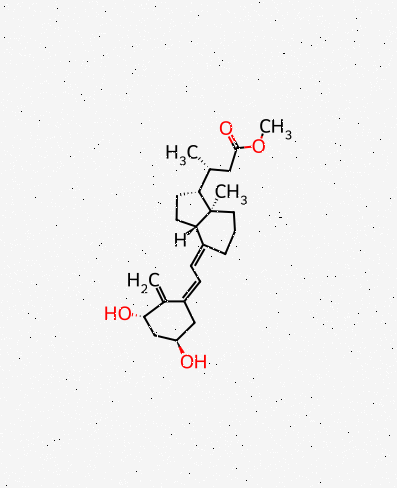 C=C1/C(=C\C=C2/CCC[C@]3(C)[C@@H]([C@H](C)CC(=O)OC)CC[C@@H]23)C[C@@H](O)C[C@@H]1O